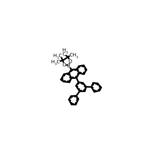 CC1(C)OB(c2c3ccccc3c(-c3cc(-c4ccccc4)cc(-c4ccccc4)c3)c3ccccc23)OC1(C)C